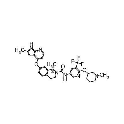 Cc1cc2c(Oc3ccc4c(c3)[C@H](C)N(C(=O)Nc3cnc(OC5CCCN(C)C5)c(C(F)(F)F)c3)CC4)ccnc2[nH]1